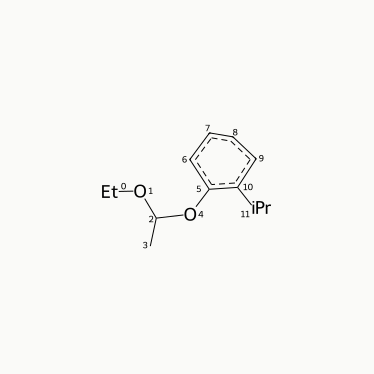 CCOC(C)Oc1ccccc1C(C)C